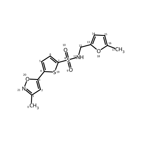 Cc1cc(-c2ccc(S(=O)(=O)NCc3ccc(C)o3)s2)on1